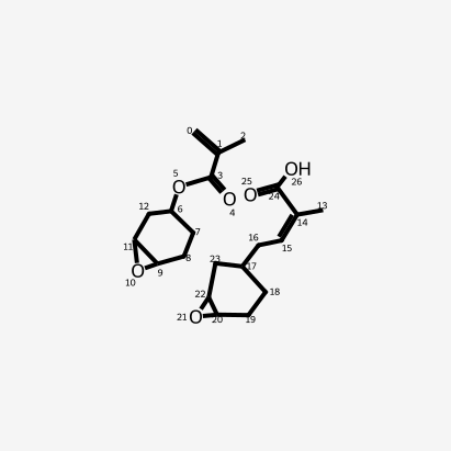 C=C(C)C(=O)OC1CCC2OC2C1.CC(=CCC1CCC2OC2C1)C(=O)O